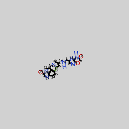 O=C1COc2ncc(CNC[C@@H]3CCN(C[C@@H]4Cn5c(=O)cnc6ccc(F)c4c65)C3)nc2N1